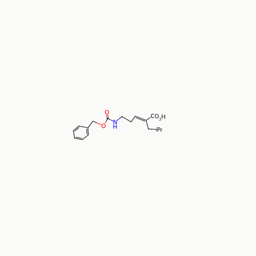 CC(C)CC(=CCCNC(=O)OCc1ccccc1)C(=O)O